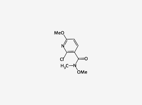 COc1ccc(C(=O)N(C)OC)c(Cl)n1